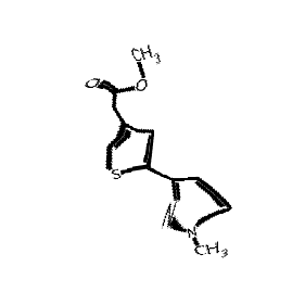 COC(=O)c1csc(-c2ccn(C)n2)c1